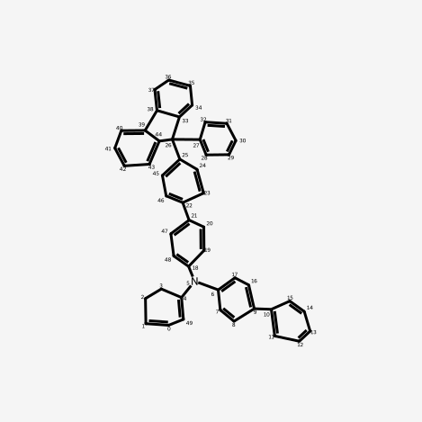 C1=CCCC(N(c2ccc(-c3ccccc3)cc2)c2ccc(-c3ccc(C4(c5ccccc5)c5ccccc5-c5ccccc54)cc3)cc2)=C1